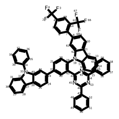 FC(F)(F)c1ccc(-c2ccc3c4ccccc4n(-c4ccc(-c5ccc6c7ccccc7n(-c7ccccc7)c6c5)cc4-c4nc(-c5ccccc5)nc(-c5ccccc5)n4)c3c2)c(C(F)(F)F)c1